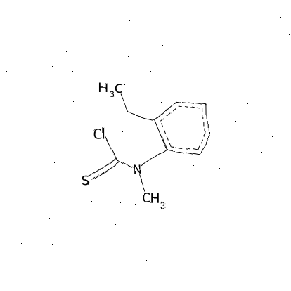 CCc1ccccc1N(C)C(=S)Cl